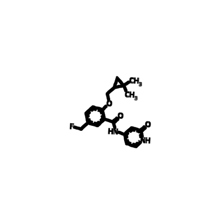 CC1(C)CC1COc1ccc(CF)cc1C(=O)Nc1cc[nH]c(=O)c1